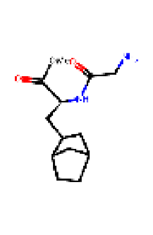 COC(=O)[C@H](CC1CC2CCC1C2)NC(=O)CN